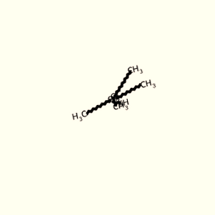 CCCCCCCCCCCCO[Si](CC(C)CS)(OCCCCCCCCCCCC)OCCCCCCCCCCCC